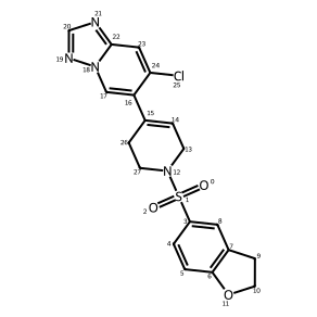 O=S(=O)(c1ccc2c(c1)CCO2)N1CC=C(c2cn3ncnc3cc2Cl)CC1